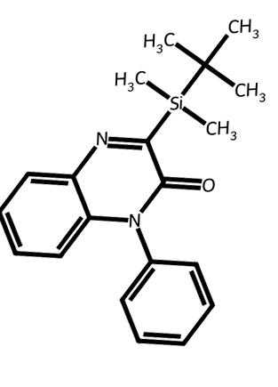 CC(C)(C)[Si](C)(C)c1nc2ccccc2n(-c2ccccc2)c1=O